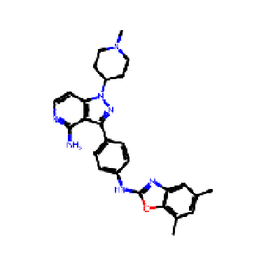 Cc1cc(C)c2oc(Nc3ccc(-c4nn(C5CCN(C)CC5)c5ccnc(N)c45)cc3)nc2c1